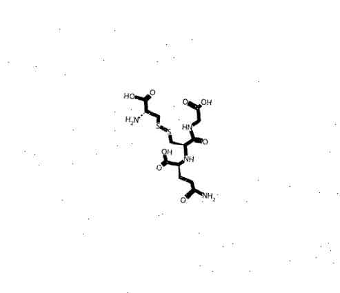 NC(=O)CC[C@H](N[C@@H](CSSC[C@H](N)C(=O)O)C(=O)NCC(=O)O)C(=O)O